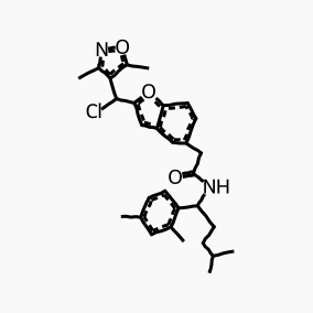 Cc1ccc(C(CCC(C)C)NC(=O)Cc2ccc3oc(C(Cl)c4c(C)noc4C)cc3c2)c(C)c1